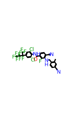 Cc1cc(C#N)ccc1CNc1c(C#N)ccc(C(=O)Nc2c(Cl)cc(C(F)(C(F)(F)F)C(F)(F)C(F)(F)F)cc2Cl)c1F